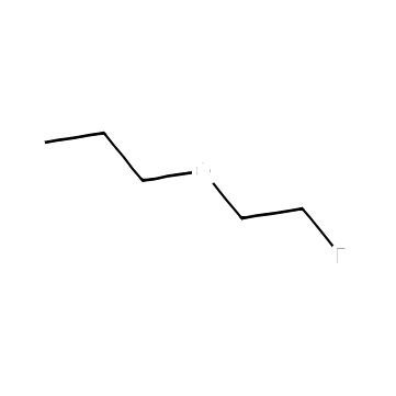 CCCO[CH]CF